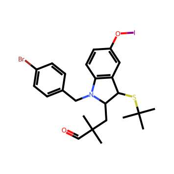 CC(C)(C=O)CC1C(SC(C)(C)C)c2cc(OI)ccc2N1Cc1ccc(Br)cc1